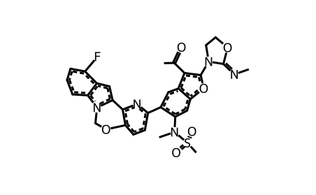 C/N=C1\OCCN1c1oc2cc(N(C)S(C)(=O)=O)c(-c3ccc4c(n3)-c3cc5c(F)cccc5n3CO4)cc2c1C(C)=O